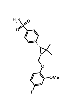 COc1cc(F)ccc1OC[C@H]1[C@H](c2ccc(S(N)(=O)=O)cc2)C1(C)C